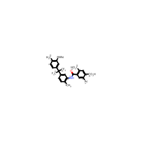 CNc1cc(C(c2ccc(C)c(NC(=O)c3cc(C(C)=O)c(C(=O)O)cc3C(=O)O)c2)(C(F)(F)F)C(F)(F)F)ccc1C